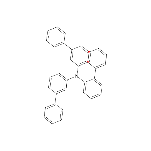 c1ccc(-c2cccc(N(c3cccc(-c4ccccc4)c3)c3ccccc3-c3ccccc3)c2)cc1